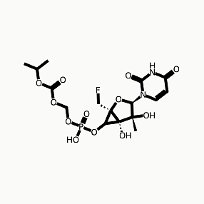 CC(C)OC(=O)OCOP(=O)(O)OC1[C@]2(O)[C@@](C)(O)[C@H](n3ccc(=O)[nH]c3=O)O[C@]12CF